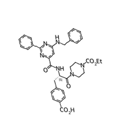 CCOC(=O)N1CCN(C(=O)[C@H](Cc2ccc(C(=O)O)cc2)NC(=O)c2cc(NCc3ccccc3)nc(-c3ccccc3)n2)CC1